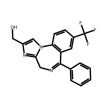 OCc1cn2c(n1)CN=C(c1ccccc1)c1cc(C(F)(F)F)ccc1-2